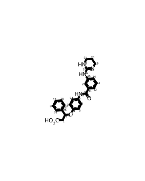 O=C(O)CC(Oc1ccc(NC(=O)c2cccc(NC3=NCCCN3)c2)cc1)c1ccccc1